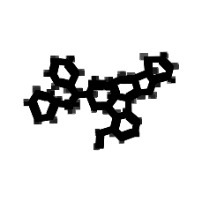 C=Cc1cccc2c1C(=CC(NC)C(Nc1ccccc1)c1ccccc1)c1ccc3c(c1-2)Cc1ccccc1-3